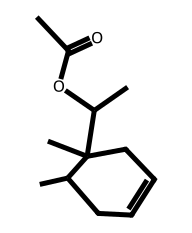 CC(=O)OC(C)C1(C)CC=CCC1C